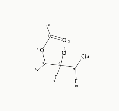 CC(=O)OC(C)C(F)(Cl)C(F)Cl